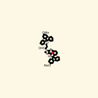 COc1ccc(C(Nc2ncnc3c2ncn3C(C=O)CCOC(c2ccccc2)(c2ccccc2)c2ccc(OC)cc2)(c2ccccc2)c2ccccc2)cc1